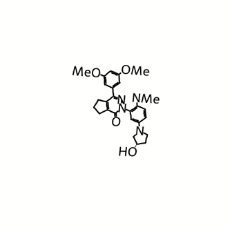 CNc1ccc(N2CC[C@H](O)C2)cc1-n1nc(-c2cc(OC)cc(OC)c2)c2c(c1=O)CCC2